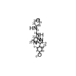 COc1cc(C)c(-c2c(C)nn3c(NCCNC4CCOCC4)cc(C)nc23)c(C)c1